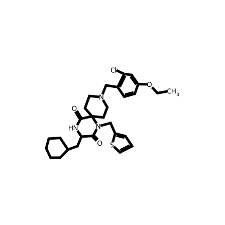 CCOc1ccc(CN2CCC3(CC2)C(=O)NC(CC2CCCCC2)C(=O)N3Cc2cccs2)c(Cl)c1